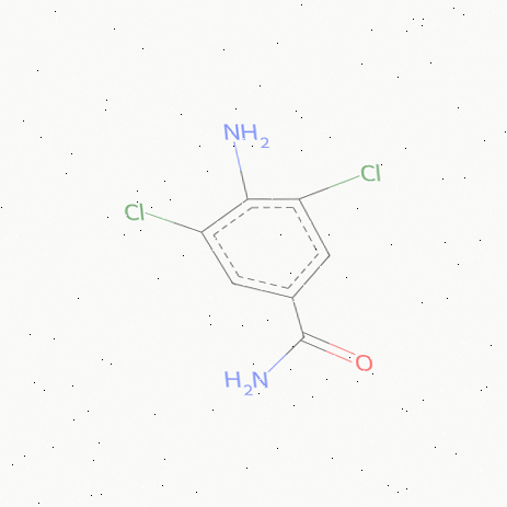 NC(=O)c1cc(Cl)c(N)c(Cl)c1